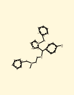 CN(CCOC(c1ccc(Cl)cc1)c1nccn1Cc1ccccc1)Cc1ccccc1